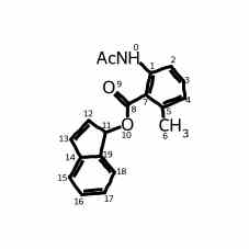 CC(=O)Nc1cccc(C)c1C(=O)OC1C=Cc2ccccc21